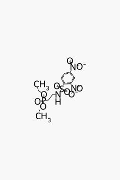 CCOP(=O)(CCNS(=O)(=O)c1ccc([N+](=O)[O-])cc1[N+](=O)[O-])OCC